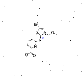 COCn1cc(Br)s/c1=N\c1cccc(C(=O)OC)n1